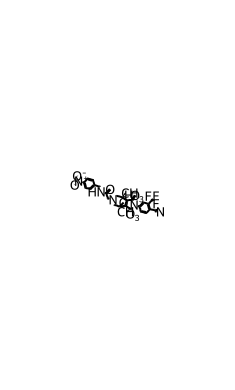 C[C@]12CN(CC(=O)NCc3ccc([N+](=O)[O-])cc3)C[C@](C)(O1)C1C(=O)N(c3ccc(C#N)c(C(F)(F)F)c3)C(=O)[C@H]12